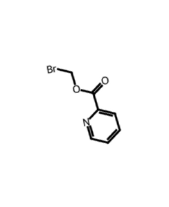 O=C(OCBr)c1ccccn1